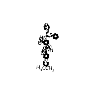 CC1(C)CCN(c2ccc3c(NS(=O)(=O)c4ccc(N[C@H](CCN5CCOCC5)CSc5ccccc5)c([N+](=O)[O-])c4)noc3c2)CC1